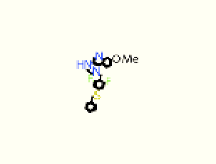 COc1ccc2c3c(cnc2c1)NCCN3Cc1c(F)cc(SCc2ccccc2)cc1F